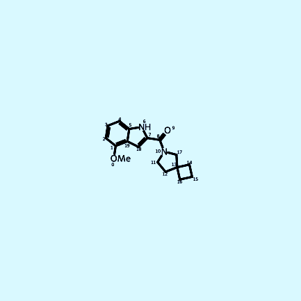 COc1cccc2[nH]c(C(=O)N3CCC4(CCC4)C3)cc12